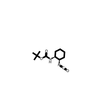 CC(C)(C)OC(=O)N[C@H]1CCCC[C@H]1N=C=O